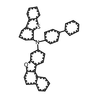 c1ccc(-c2ccc(N(c3ccc4c(c3)oc3ccc5ccccc5c34)c3cccc4c3sc3ccccc34)cc2)cc1